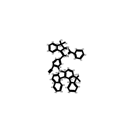 C#Cc1ccc(-c2nc(-c3ccccc3)nc3c2-c2ccccc2C3(C)C)cc1-n1c2ccc3c(c2c2c4ccccc4ccc21)-c1ccccc1C3(C)C